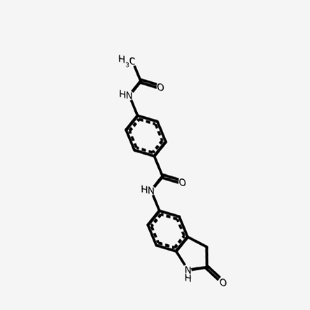 CC(=O)Nc1ccc(C(=O)Nc2ccc3c(c2)CC(=O)N3)cc1